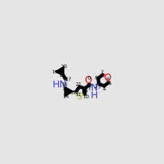 O=C(NC1CCOCC1)C1=CSC([C@@H]2C[C@H]2NCC2CC2)C1